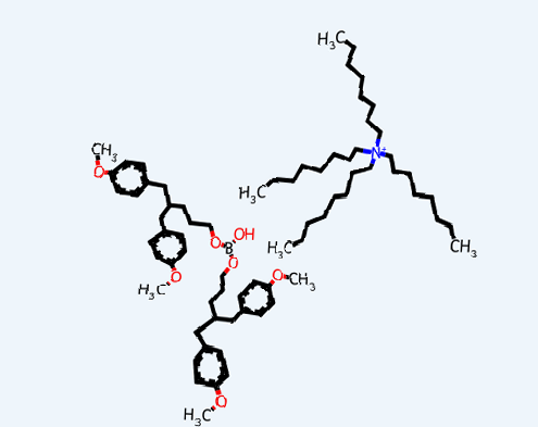 CCCCCCCC[N+](CCCCCCCC)(CCCCCCCC)CCCCCCCC.COc1ccc(CC(CCCOB(O)OCCCC(Cc2ccc(OC)cc2)Cc2ccc(OC)cc2)Cc2ccc(OC)cc2)cc1